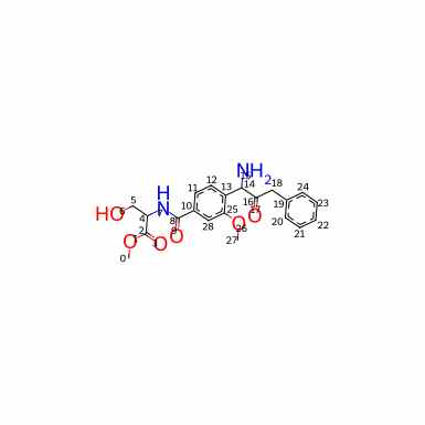 COC(=O)C(CO)NC(=O)c1ccc(C(N)C(=O)Cc2ccccc2)c(OC)c1